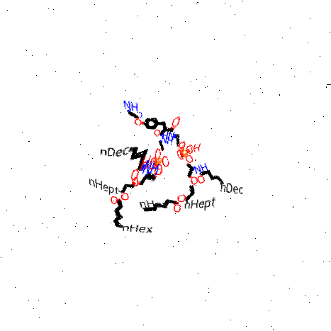 CCCCCC/C=C\CCCC(=O)O[C@H](CCCCCCC)CCOCC(COP(=O)(O)OCCNC(=O)C(Cc1ccc(OCCN)cc1)C(=O)NCCOP(=O)(O)OCC(COCC[C@@H](CCCCCCC)OC(=O)CCC/C=C\CCCCCC)NC(=O)CCCCCCCCCCCCC)NC(=O)CCCCCCCCCCCCC